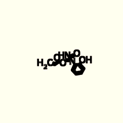 C=CC(=O)OC1NC(=O)N1c1ccccc1O